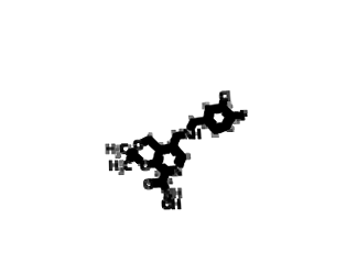 CC1(C)OCc2c(CNCc3ccc(F)c(Cl)c3)cnc(C(=O)NO)c2O1